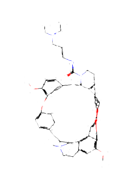 CCN(CC)CCCNC(=O)N1CCc2cc3oc4c(OC)cc5c6c4ccoc3cc2[C@@H]1Cc1ccc(OC)c(c1)OC1=CC=C(CC1)C[C@@H]6N(C)CC5